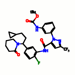 CC(C)(C)OC(=O)Nc1cccc(-n2nc(C(F)(F)F)cc2C(=O)Nc2cc(C(CCC3CC3)N3CCCCC3=O)ccc2F)c1